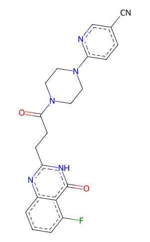 N#Cc1ccc(N2CCN(C(=O)CCc3nc4cccc(F)c4c(=O)[nH]3)CC2)nc1